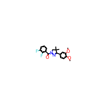 COc1ccc(C2=NN(C(=O)c3cccc(F)c3F)CC2(C)C)cc1OC